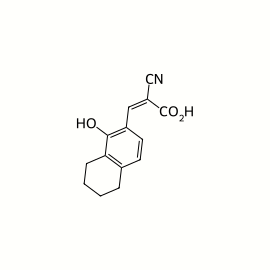 N#CC(=Cc1ccc2c(c1O)CCCC2)C(=O)O